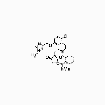 CNC(=O)N1CCCCC1C(=O)N1CCc2c(Cl)ccc(OCc3cn(C)nn3)c2[C@H]1CN1CCCC1=O